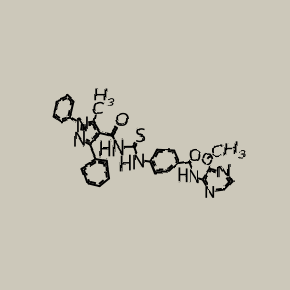 COc1nccnc1NC(=O)c1ccc(NC(=S)NC(=O)c2c(-c3ccccc3)nn(-c3ccccc3)c2C)cc1